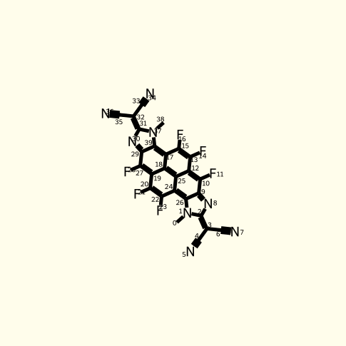 Cn1c(=C(C#N)C#N)nc2c(F)c3c(F)c(F)c4c5c(c(F)c(F)c(c35)c21)c(F)c1nc(=C(C#N)C#N)n(C)c14